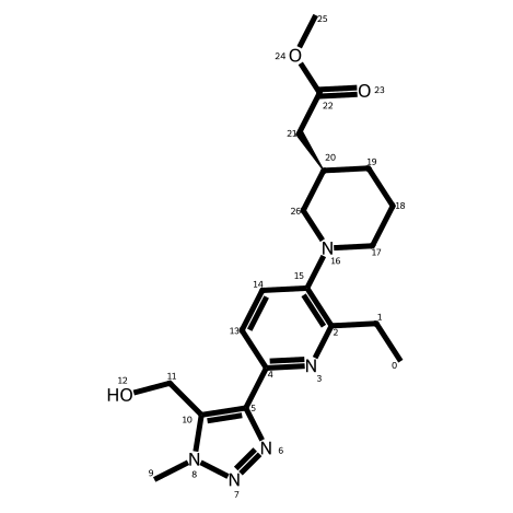 CCc1nc(-c2nnn(C)c2CO)ccc1N1CCC[C@H](CC(=O)OC)C1